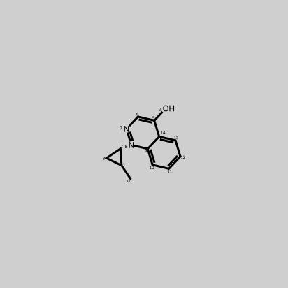 CC1CC1.Oc1cnnc2ccccc12